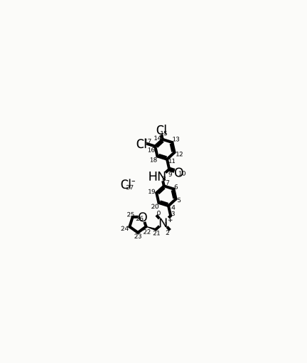 C[N+](C)(Cc1ccc(NC(=O)c2ccc(Cl)c(Cl)c2)cc1)C[C@H]1CCCO1.[Cl-]